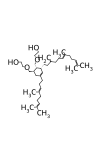 C=C(CC/C=C(\C)CCC=C(C)C)CC[C@@H]1C=C(CC/C=C(\C)CCC=C(C)C)C[C@@H](COCCO)[C@@H]1COCCO